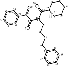 O=C(C(=O)N(CCCCc1ccccc1)C(=O)C1CCCCN1)c1ccccc1